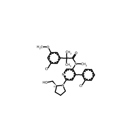 COc1cc(Cl)cc(C(C)(C)C(=O)N(C)c2cnc(N3CCC[C@H]3CO)cc2-c2ccccc2Cl)c1